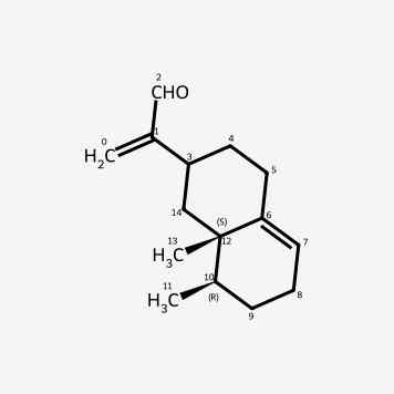 C=C(C=O)C1CCC2=CCC[C@@H](C)[C@]2(C)C1